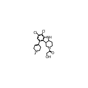 CN1CC=C(c2cc(Cl)c(Cl)c3c2C2CN(C(=O)CO)CCC2N3)CC1